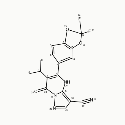 CC(C)c1c(-c2ccc3c(c2)OC(F)(F)O3)[nH]c2c(C#N)cnn2c1=O